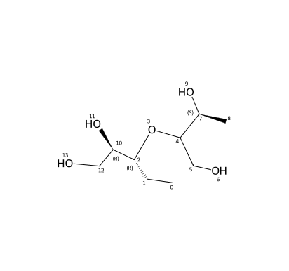 CC[C@@H](OC(CO)[C@H](C)O)[C@H](O)CO